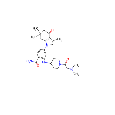 Cc1cn(-c2ccc(C(N)=O)c(NC3CCN(C(=O)CN(C)C)CC3)c2)c2c1C(=O)CC(C)(C)C2